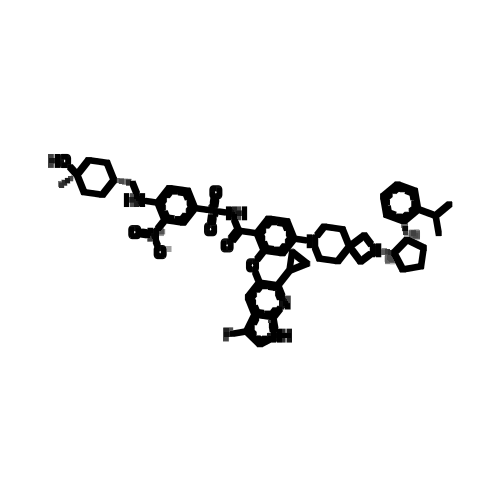 CC(C)c1ccccc1[C@@H]1CCC[C@@H]1N1CC2(CCN(c3ccc(C(=O)NS(=O)(=O)c4ccc(NC[C@H]5CC[C@](C)(O)CC5)c([N+](=O)[O-])c4)c(Oc4cc5c(F)c[nH]c5nc4C4CC4)c3)CC2)C1